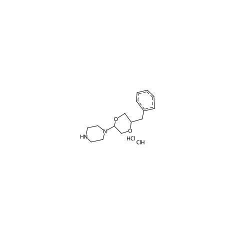 Cl.Cl.c1ccc(CC2COC(N3CCNCC3)CO2)cc1